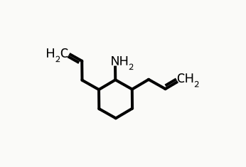 C=CCC1CCCC(CC=C)C1N